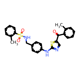 Cc1ccccc1C(=O)c1cnc(Nc2ccc(CNS(=O)(=O)c3ccccc3C)cc2)s1